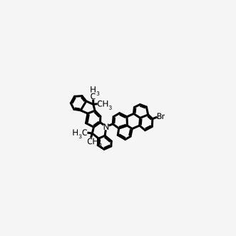 CC1(C)c2ccccc2-c2cc3c(cc21)N(c1ccc2c4cccc5c(Br)ccc(c6cccc1c62)c54)c1ccccc1C3(C)C